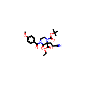 CCOC(=O)C1(CCC#N)C(=O)N(C(=O)c2ccc(OC)cc2)CCN1C(=O)OC(C)(C)C